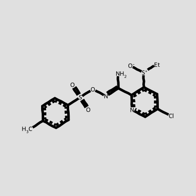 CC[S+]([O-])c1cc(Cl)cnc1/C(N)=N/OS(=O)(=O)c1ccc(C)cc1